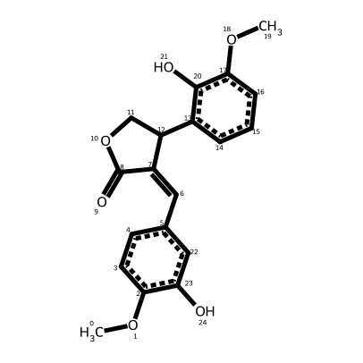 COc1ccc(C=C2C(=O)OCC2c2cccc(OC)c2O)cc1O